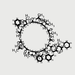 CC(C)C[C@H]1C(=O)N(C)[C@@H](C(C)C)C(=O)N[C@@H](Cc2ccccc2)C(=O)N[C@H](C(=O)N(C)[C@@H](Cc2ccccc2)C(=O)N[C@@H](C)C(=O)N2CCCCC2)CC(=O)N[C@H](C)C(=O)N[C@@H](C(C)C)C(=O)N(C)[C@@H](CC(C)C)C(=O)N[C@@H]([C@@H](C)O)C(=O)N(C)[C@@H](Cc2ccccc2)C(=O)NCC(=O)N1C